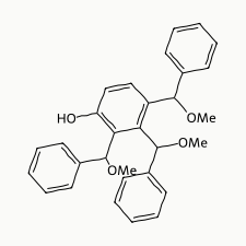 COC(c1ccccc1)c1ccc(O)c(C(OC)c2ccccc2)c1C(OC)c1ccccc1